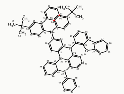 CC(C)(C)c1ccc(N(c2ccc3c(c2)N(c2cccc4c2oc2ccccc24)c2cncc4c2B3c2ccccc2N4c2ccccc2)c2ccc(C(C)(C)C)cc2-c2ccccc2)cc1